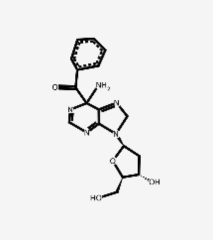 NC1(C(=O)c2ccccc2)N=CN=C2C1=NCN2[C@H]1C[C@H](O)[C@@H](CO)O1